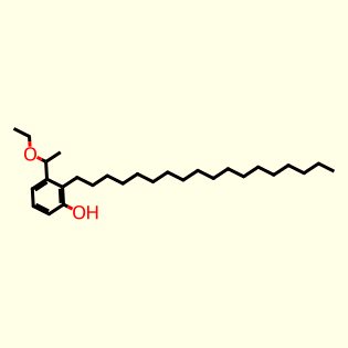 CCCCCCCCCCCCCCCCCCc1c(O)cccc1C(C)OCC